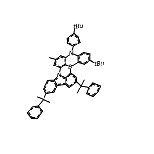 Cc1cc2c3c(c1)-n1c4ccc(C(C)(C)c5ccccc5)cc4c4cc(C(C)(C)c5ccccc5)cc(c41)B3c1cc(C(C)(C)C)ccc1N2c1ccc(C(C)(C)C)cc1